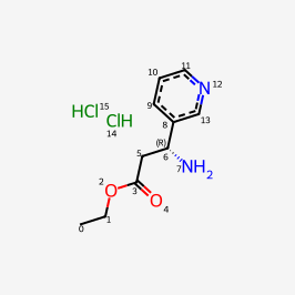 CCOC(=O)C[C@@H](N)c1cccnc1.Cl.Cl